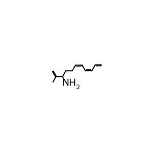 C=C/C=C\C=C/CCC(N)C(=C)C